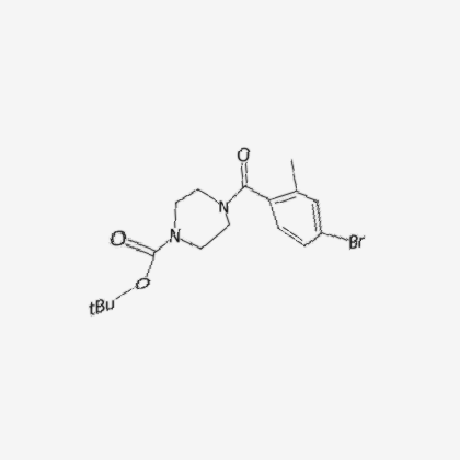 Cc1cc(Br)ccc1C(=O)N1CCN(C(=O)OC(C)(C)C)CC1